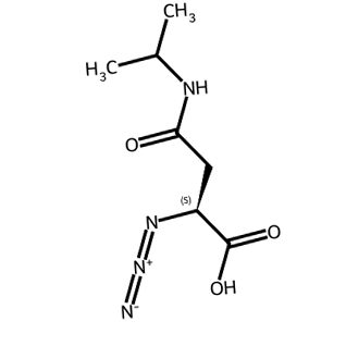 CC(C)NC(=O)C[C@H](N=[N+]=[N-])C(=O)O